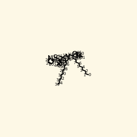 CCCCCCCCCCC(CN(CCCSSc1ccccn1)CC(CCCCCCCCCC)O[Si](C)(C)C(C)(C)C)O[Si](C)(C)C(C)(C)C